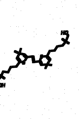 CC1(C)C=C(C=CC2=CC(C)(C)C=C(CCCCC(C)(C)CO)S2)SC(CCCCC(C)(C)CO)=C1